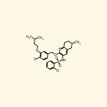 CN(C)CCOc1cc(COc2nc3c(cc2NS(=O)(=O)c2ccccc2Cl)CN(C)CC3)ccc1Cl